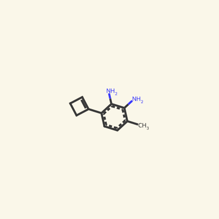 Cc1ccc(C2=CCC2)c(N)c1N